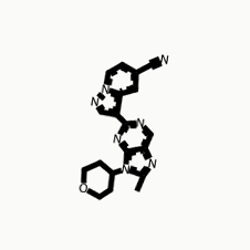 Cc1nc2cnc(-c3cnn4ccc(C#N)cc34)nc2n1C1CCOCC1